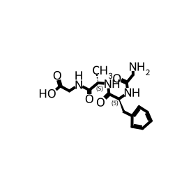 C[C@H](NC(=O)[C@H](Cc1ccccc1)NC(=O)CN)C(=O)NCC(=O)O